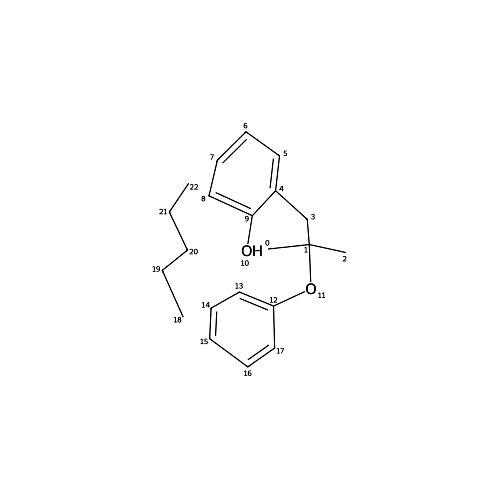 CC(C)(Cc1ccccc1O)Oc1ccccc1.CCCCC